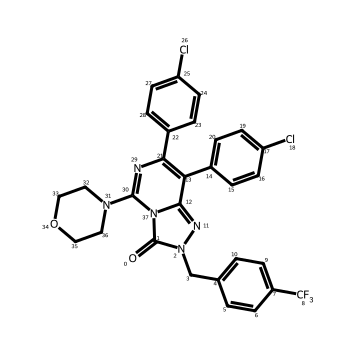 O=c1n(Cc2ccc(C(F)(F)F)cc2)nc2c(-c3ccc(Cl)cc3)c(-c3ccc(Cl)cc3)nc(N3CCOCC3)n12